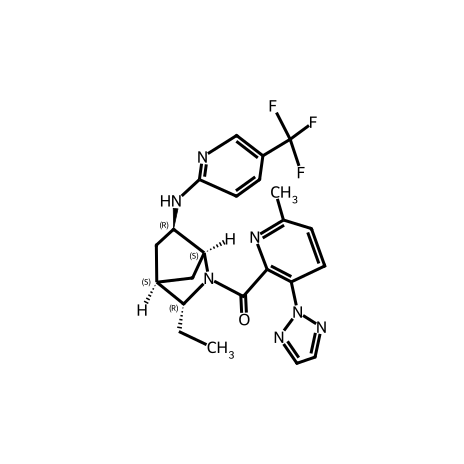 CC[C@@H]1[C@H]2C[C@@H](Nc3ccc(C(F)(F)F)cn3)[C@H](C2)N1C(=O)c1nc(C)ccc1-n1nccn1